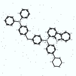 c1ccc(N(c2ccccc2)c2ccc(Cc3ccc(N(c4ccc(C5CCCCC5)cc4)c4cccc5c4oc4ccccc45)cc3)cc2)cc1